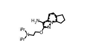 CC(C)N(CCOc1nn2c3c(ccc2c1N)CCC3)C(C)C